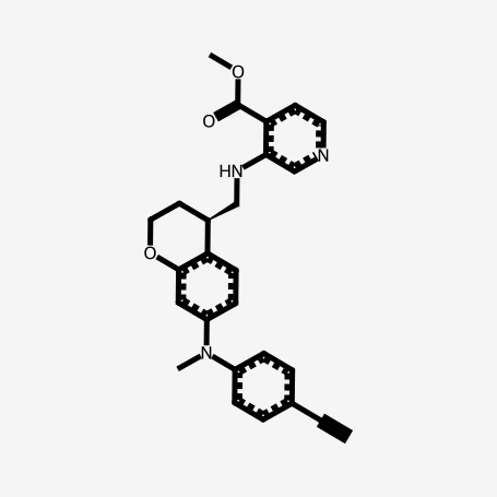 C#Cc1ccc(N(C)c2ccc3c(c2)OCC[C@H]3CNc2cnccc2C(=O)OC)cc1